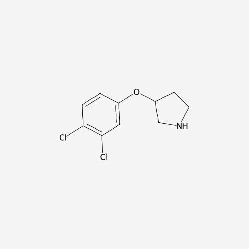 Clc1ccc(OC2CCNC2)cc1Cl